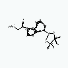 COCC(=O)n1ccc2c(B3OC(C)(C)C(C)(C)O3)cccc21